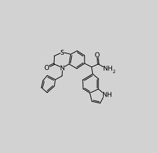 NC(=O)C(c1ccc2c(c1)N(Cc1ccccc1)C(=O)CS2)c1ccc2cc[nH]c2c1